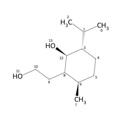 CC(C)[C@@H]1CC[C@@H](C)C(CCO)[C@H]1O